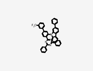 FC(F)(F)c1cccc(-c2ccc(-c3nc(-c4ccccc4)nc(-c4ccccc4)n3)c(-n3c4ccccc4c4ccc(-c5ccccc5)cc43)c2)c1